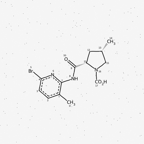 Cc1ccc(Br)nc1NC(=O)[C@@H]1C[C@H](C)CN1C(=O)O